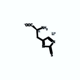 N[C@@H](CC1=NC(=S)N=C1)C(=O)[O-].[Li+]